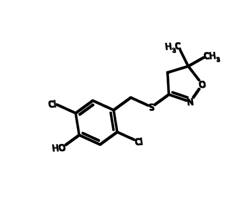 CC1(C)CC(SCc2cc(Cl)c(O)cc2Cl)=NO1